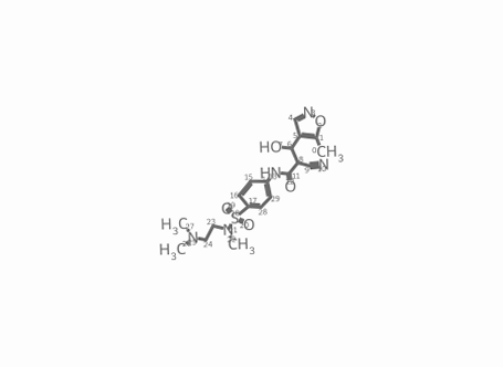 Cc1oncc1C(O)C(C#N)C(=O)Nc1ccc(S(=O)(=O)N(C)CCN(C)C)cc1